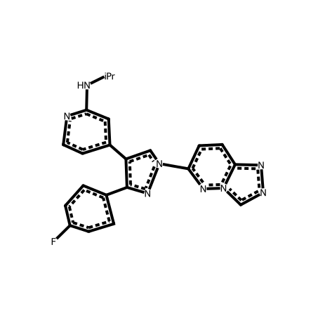 CC(C)Nc1cc(-c2cn(-c3ccc4nncn4n3)nc2-c2ccc(F)cc2)ccn1